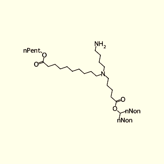 CCCCCCCCCC(CCCCCCCCC)OC(=O)CCCCN(CCCCN)CCCCCCCCCC(=O)OCCCCC